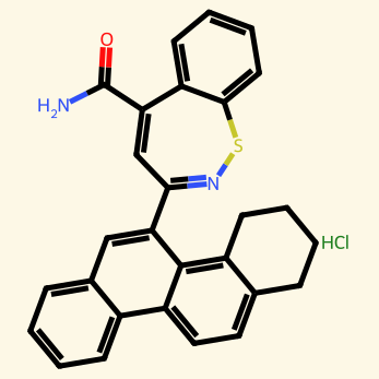 Cl.NC(=O)C1=CC(c2cc3ccccc3c3ccc4c(c23)CCCC4)=NSc2ccccc21